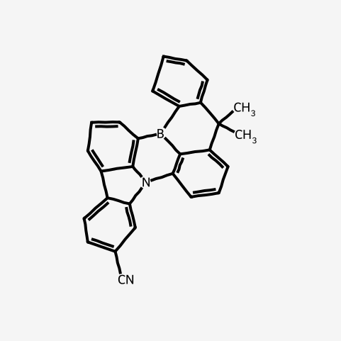 CC1(C)c2ccccc2B2c3c(cccc31)-n1c3cc(C#N)ccc3c3cccc2c31